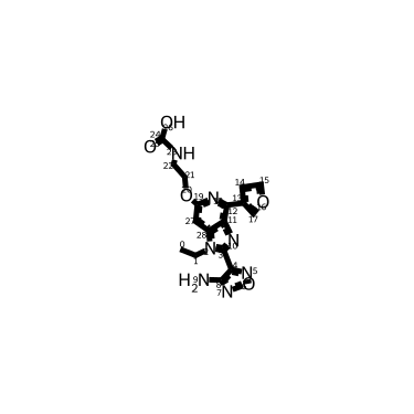 CCn1c(-c2nonc2N)nc2c(-c3ccoc3)nc(OCCNC(=O)O)cc21